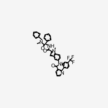 CN(Cc1ccccc1)C(=O)C(NC(=O)c1cc2cc(NC(=O)c3cccnc3-c3ccc(C(F)(F)F)cc3)ccc2n1C)c1ccccc1